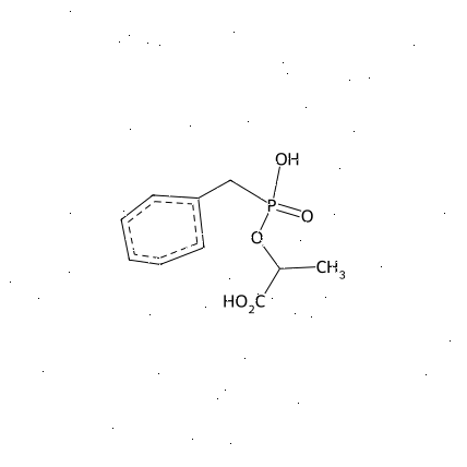 CC(OP(=O)(O)Cc1ccccc1)C(=O)O